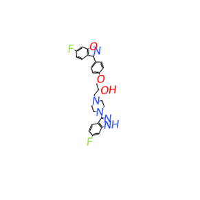 O[C@@H](COc1ccc(-c2noc3cc(F)ccc23)cc1)CN1CCN(c2n[nH]c3cc(F)ccc23)CC1